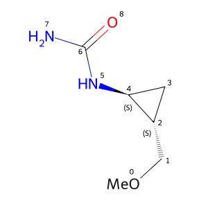 COC[C@H]1C[C@@H]1NC(N)=O